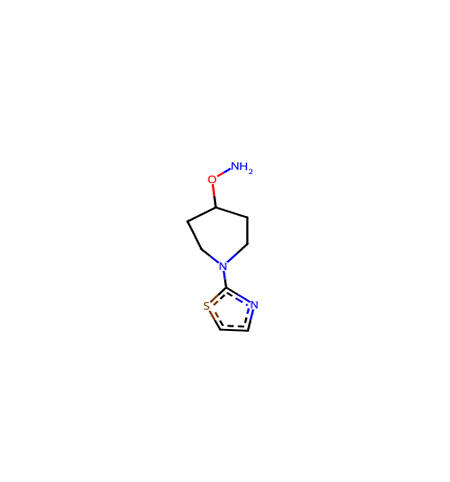 NOC1CCN(c2nccs2)CC1